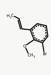 CC=Cc1cccc(Br)c1OC